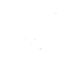 COc1ccc(CC(SCC2CCCCC2)C(CNC(=O)c2ccccc2O)NC(=O)[C@@H]2NCCS2)cc1